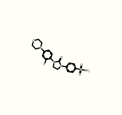 NS(=O)(=O)c1ccc(N2CCN(c3ccc(N4CCOCC4)cc3F)C2=O)cc1